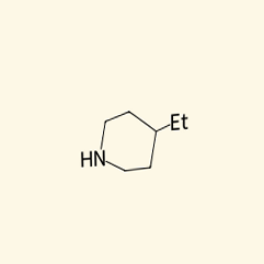 [CH2]CC1CCNCC1